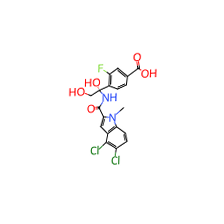 Cn1c(C(=O)N[C@@](O)(CO)c2ccc(C(=O)O)cc2F)cc2c(Cl)c(Cl)ccc21